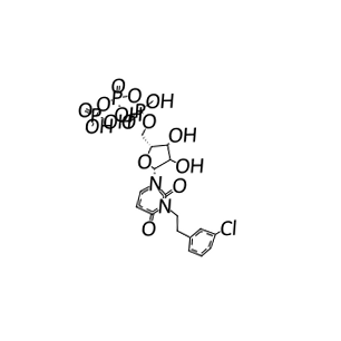 O=c1ccn([C@@H]2O[C@H](COP(=O)(O)OP(=O)(O)OP(=O)(O)O)[C@H](O)C2O)c(=O)n1CCc1cccc(Cl)c1